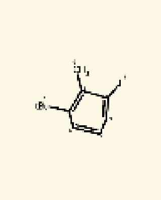 Cc1c(I)cccc1C(C)(C)C